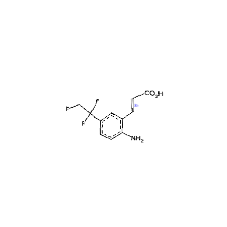 Nc1ccc(C(F)(F)CF)cc1/C=C/C(=O)O